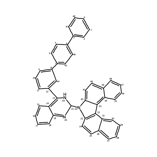 c1ccc(-c2ccc(-c3cccc(C4=c5ccccc5=NC(n5c6ccc7ccccc7c6c6c7ccccc7ccc65)N4)c3)cc2)cc1